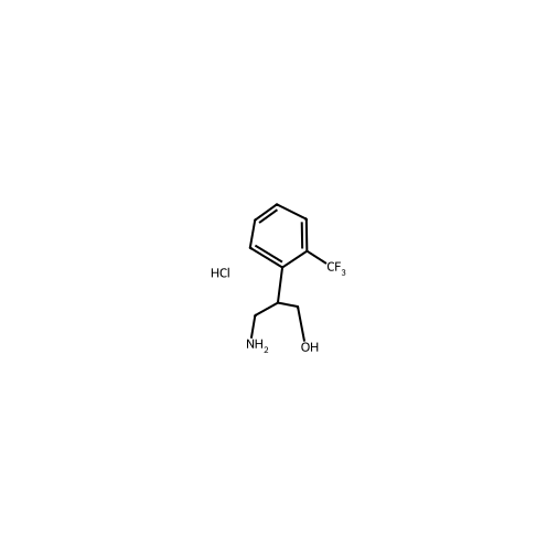 Cl.NCC(CO)c1ccccc1C(F)(F)F